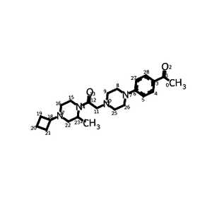 CC(=O)c1ccc(N2CCN(CC(=O)N3CCN(C4CCC4)CC3C)CC2)cc1